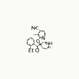 CCc1ccccc1C(=O)[C@@]1(Oc2nccc(C#N)c2C)CC[C@@H](C)NC1